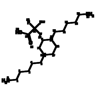 NCCCCCN1CCN(CCCCCN)CC1.O=C(O)C(F)(F)F